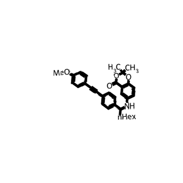 CCCCCCC(Nc1ccc2c(c1)C(=O)OC(C)(C)O2)c1ccc(C#Cc2ccc(OC)cc2)cc1